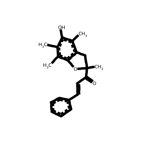 Cc1c(C)c2c(c(C)c1O)CC(C)(C(=O)C=Cc1ccccc1)O2